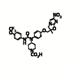 CC1(COc2ccc(N(C(=O)Nc3ccc(OC(F)(F)F)cc3)C3CCN(C(=O)O)CC3)cc2)Cn2cc([N+](=O)[O-])nc2O1